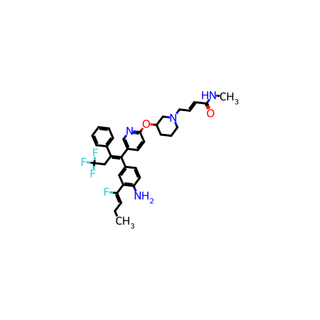 CC/C=C(\F)c1cc(/C(=C(\CC(F)(F)F)c2ccccc2)c2ccc(OC3CCCN(C/C=C/C(=O)NC)C3)nc2)ccc1N